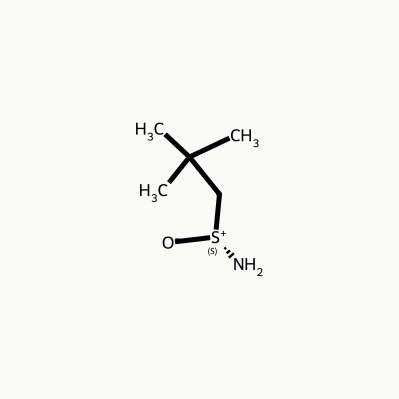 CC(C)(C)C[S@+](N)[O-]